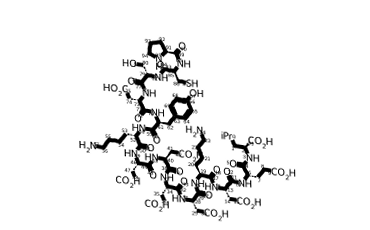 CC(C)C[C@H](NC(=O)[C@H](CCC(=O)O)NC(=O)[C@H](CC(=O)O)NC(=O)[C@H](CCCCN)NC(=O)[C@H](CC(=O)O)NC(=O)[C@H](CC(=O)O)NC(=O)[C@H](CC(=O)O)NC(=O)[C@H](CC(=O)O)NC(=O)[C@H](CCCCN)NC(=O)[C@H](Cc1ccc(O)cc1)NC(=O)[C@H](CC(=O)O)NC(=O)[C@H](CO)NC(=O)[C@H](CS)NC(=O)[C@@H]1CCCN1)C(=O)O